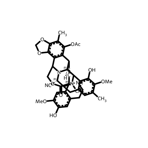 COc1cc2c(cc1O)CCN[C@]21CSC2c3c(OC(C)=O)c(C)c4c(c3C(COC1=O)N1[C@@H]2C2c3c(cc(C)c(OC)c3O)CC([C@@H]1C#N)N2C)OCO4